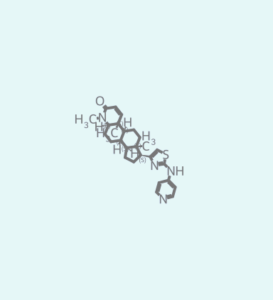 CN1C(=O)C=C[C@]2(C)[C@H]3CC[C@]4(C)[C@@H](c5csc(Nc6ccncc6)n5)CC[C@H]4[C@@H]3CC[C@@H]12